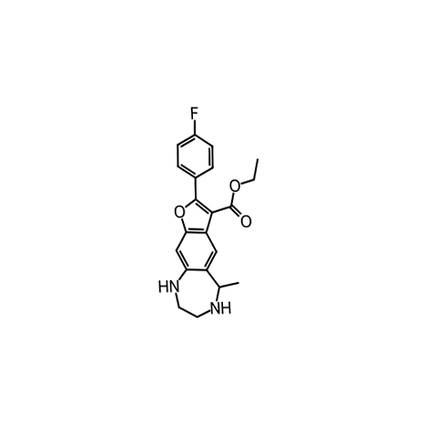 CCOC(=O)c1c(-c2ccc(F)cc2)oc2cc3c(cc12)C(C)NCCN3